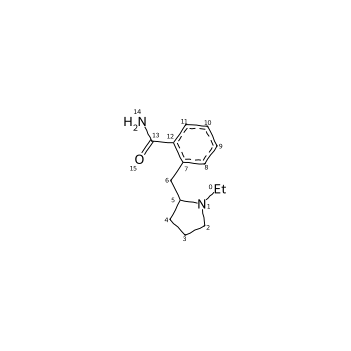 CCN1CCCC1Cc1ccccc1C(N)=O